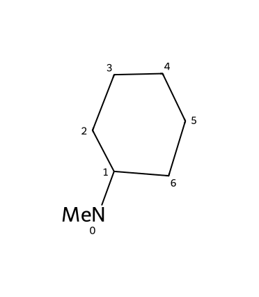 [CH]NC1CCCCC1